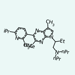 CCCN(CCC)CC(CC)n1cc(C)c2nc(-c3ccc(C(C)C)nc3OC)c(C)nc21